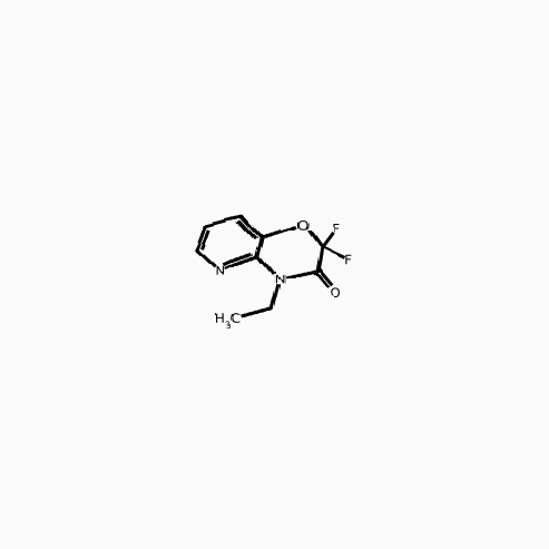 CCN1C(=O)C(F)(F)Oc2cccnc21